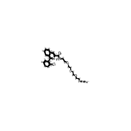 [N-]=[N+]=NCCOCCOCCOCCNC(=O)c1cc2ccccc2c(-c2ccccc2Cl)n1